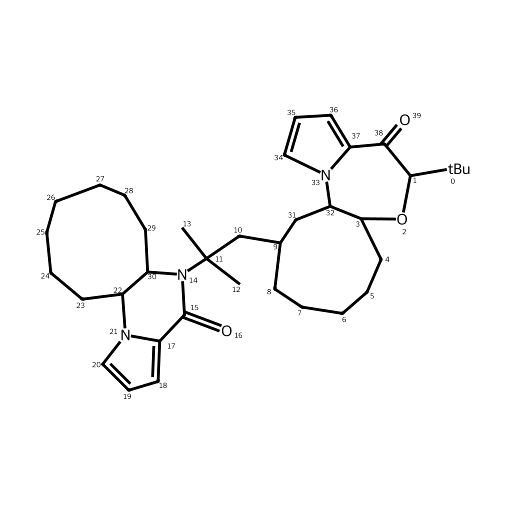 CC(C)(C)C1OC2CCCCCC(CC(C)(C)N3C(=O)c4cccn4C4CCCCCCCC43)CC2n2cccc2C1=O